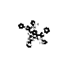 c1ccc(-n2cc(Nc3ccc[nH]3)c(-c3nc4nc(-c5ncccn5)nc5nc(-c6cn(-c7ccccc7)cc6Nc6ccc[nH]6)c6ccc3c6n45)c2)cc1